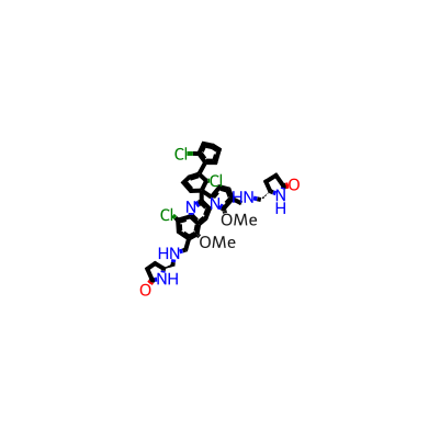 COc1nc(C2(c3ccc4c(OC)c(CNC[C@@H]5CCC(=O)N5)cc(Cl)c4n3)C=CC=C(c3ccccc3Cl)C2Cl)ccc1CNC[C@@H]1CCC(=O)N1